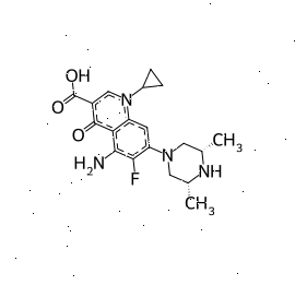 C[C@@H]1CN(c2cc3c(c(N)c2F)c(=O)c(C(=O)O)cn3C2CC2)C[C@H](C)N1